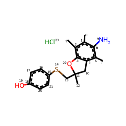 Cc1c(C)c2c(c(C)c1N)CC(C)(CSc1ccc(O)cc1)O2.Cl